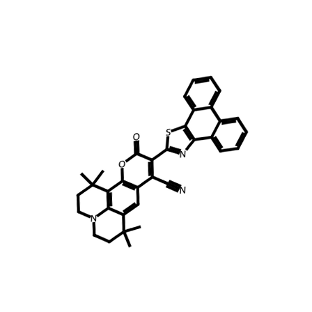 CC1(C)CCN2CCC(C)(C)c3c2c1cc1c(C#N)c(-c2nc4c5ccccc5c5ccccc5c4s2)c(=O)oc31